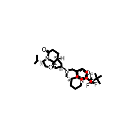 CC(C)[C@H]1CO[C@]23CC[C@H](N(Cc4ccc(C(F)(F)F)cc4)C[C@H]4CCCN(C(=O)OC(C)(C)C)C4)C[C@H]2CCC(=O)N13